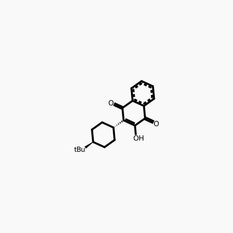 CC(C)(C)[C@H]1CC[C@H](C2=C(O)C(=O)c3ccccc3C2=O)CC1